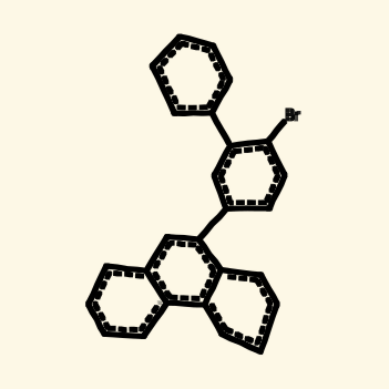 Brc1ccc(-c2cc3ccccc3c3ccccc23)cc1-c1ccccc1